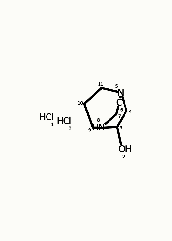 Cl.Cl.OC1CN2CCNC1CC2